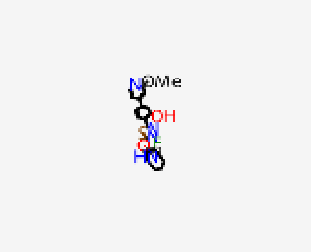 COc1cc(-c2ccc(-c3nnc(O[C@H]4CC5CCCC(N5)[C@H]4F)s3)c(O)c2)ccn1